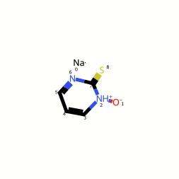 [Na].[O-][NH+]1C=CC=NC1=S